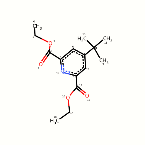 CCOC(=O)c1cc(C(C)(C)C)cc(C(=O)OCC)n1